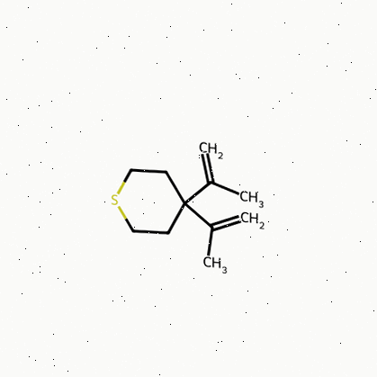 C=C(C)C1(C(=C)C)CCSCC1